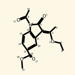 CCOC(C)=C1C(=O)N(C(C)=O)c2ccc(C(=O)OC)cc21